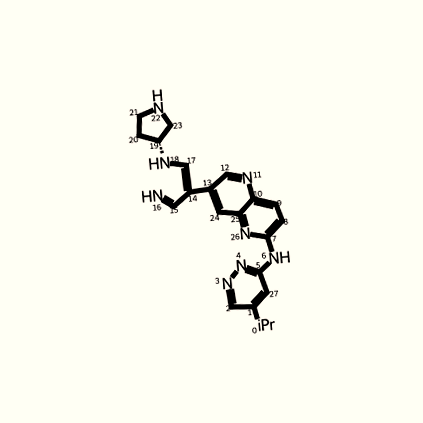 CC(C)c1cnnc(Nc2ccc3ncc(/C(C=N)=C/N[C@@H]4CCNC4)cc3n2)c1